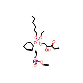 C1=CCCCC1.C=CC(=O)C(O)COP(=O)(OCC)OCCCCCC.C=CO[PH](=O)OC=C